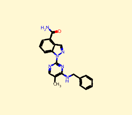 Cc1cnc(-n2ncc3c(C(N)=O)cccc32)nc1NCc1ccccc1